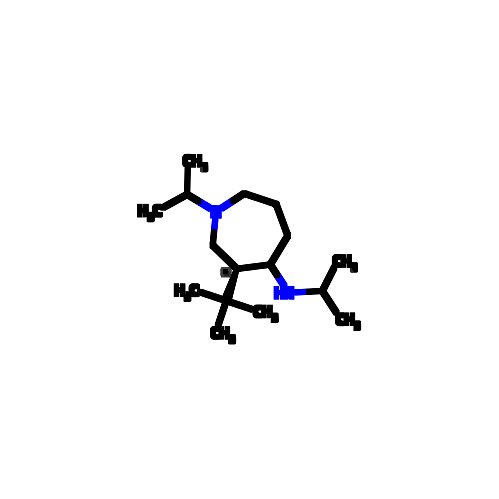 CC(C)NC1CCCN(C(C)C)C[C@@H]1C(C)(C)C